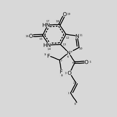 CC=COC(=O)[N+]1(C(F)F)C=Nc2c1[nH]c(=O)[nH]c2=O